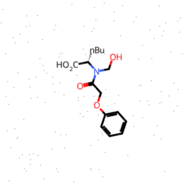 CCCC[C@@H](C(=O)O)N(CO)C(=O)COc1ccccc1